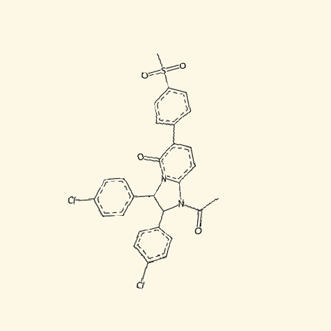 CC(=O)N1c2ccc(-c3ccc(S(C)(=O)=O)cc3)c(=O)n2C(c2ccc(Cl)cc2)C1c1ccc(Cl)cc1